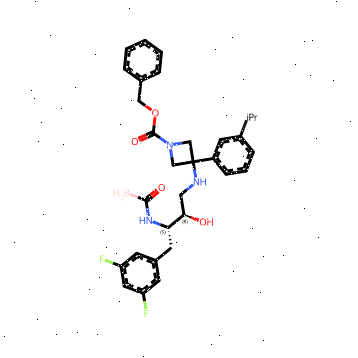 BC(=O)N[C@@H](Cc1cc(F)cc(F)c1)[C@H](O)CNC1(c2cccc(C(C)C)c2)CN(C(=O)OCc2ccccc2)C1